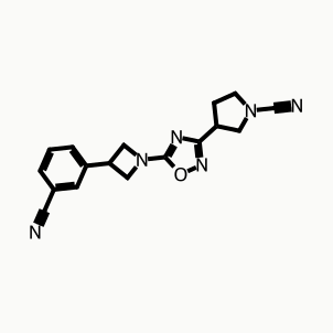 N#Cc1cccc(C2CN(c3nc(C4CCN(C#N)C4)no3)C2)c1